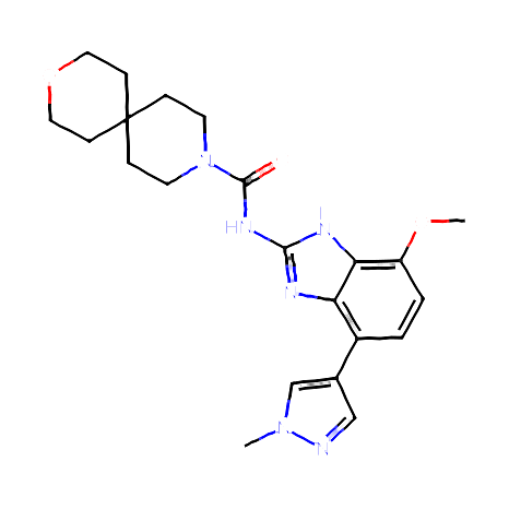 COc1ccc(-c2cnn(C)c2)c2nc(NC(=O)N3CCC4(CCOCC4)CC3)[nH]c12